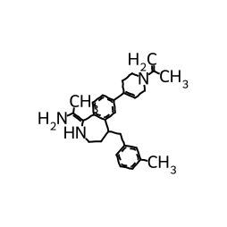 C=C(C)N1CC=C(c2ccc3c(c2)C(Cc2cccc(C)c2)CCN/C3=C(/C)N)CC1